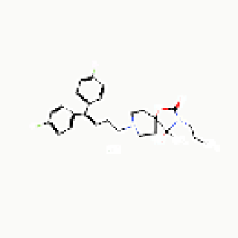 CCCN1C(=O)OC2(CCN(CCC=C(c3ccc(F)cc3)c3ccc(F)cc3)CC2)C1(C)O.Cl